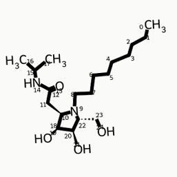 CCCCCCCCCN1[C@H](CC(=O)NC(C)C)[C@H](O)[C@H](O)[C@H]1CO